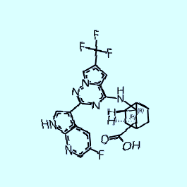 O=C(O)[C@@H]1C2CCC(CC2)[C@H]1Nc1nc(-c2c[nH]c3ncc(F)cc23)nn2cc(C(F)(F)F)cc12